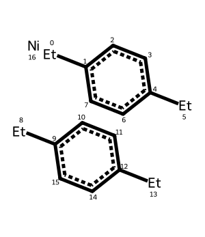 CCc1ccc(CC)cc1.CCc1ccc(CC)cc1.[Ni]